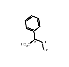 CCCN[C@@H](C(=O)O)c1ccccc1